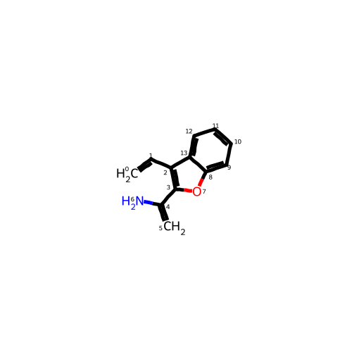 C=Cc1c(C(=C)N)oc2ccccc12